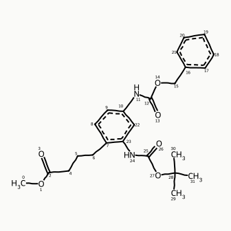 COC(=O)CCCc1ccc(NC(=O)OCc2ccccc2)cc1NC(=O)OC(C)(C)C